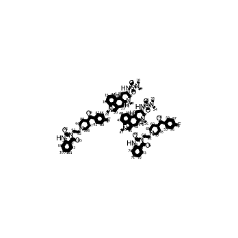 CN1C[C@@H](NS(=O)(=O)N(C)C)C[C@@H]2c3cccc4c3c(cn4C)C[C@H]21.CN1C[C@@H](NS(=O)(=O)N(C)C)C[C@@H]2c3cccc4c3c(cn4C)C[C@H]21.O=C(c1ccc(F)cc1)C1CCN(CCn2c(=O)[nH]c3ccccc3c2=O)CC1.O=C(c1ccc(F)cc1)C1CCN(CCn2c(=O)[nH]c3ccccc3c2=O)CC1